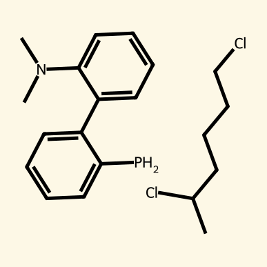 CC(Cl)CCCCCl.CN(C)c1ccccc1-c1ccccc1P